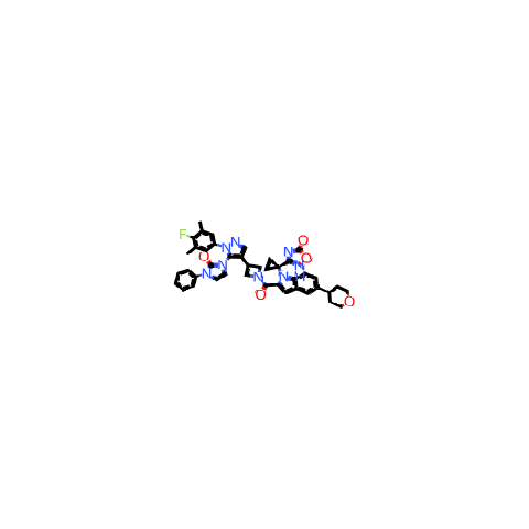 Cc1cc(-n2ncc(C3CN(C(=O)c4cc5cc(C6CCOCC6)ccc5n4C4(c5nc(=O)o[nH]5)CC4)C3)c2-n2ccn(-c3ccccc3)c2=O)cc(C)c1F